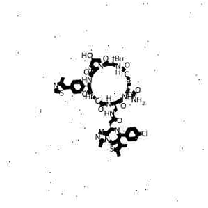 Cc1ncsc1C1=CCC([C@@H]2NC(=O)[C@@H]3C[C@@H](O)CN3C(=O)[C@H](C(C)(C)C)NC(=O)CSC[C@H](C(N)=O)NC(=O)[C@@H](CNC(=O)C[C@@H]3N=C(c4ccc(Cl)cc4)c4c(sc(C)c4C)-n4c(C)nnc43)NC(=O)CNC2=O)C=C1